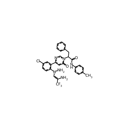 Cc1ccc(NC(=O)C(Cc2ccccc2)n2cnc(-c3cc(Cl)ccc3N(N)/C=C(\N)C(F)(F)F)cc2=O)cc1